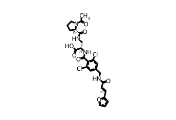 CC(=O)N1CCC[C@H]1C(=O)NC[C@H](NC(=O)c1c(Cl)cc(CNC(=O)/C=C/c2ccco2)cc1Cl)C(=O)O